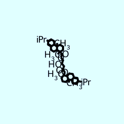 CC(C)C1=CCC2C(=C1)CCC1C(C)(OC(=O)CC(O)COC(=O)C3(C)CCCC4(C)C5CC=C(C(C)C)C=C5CCC34)CCCC21C